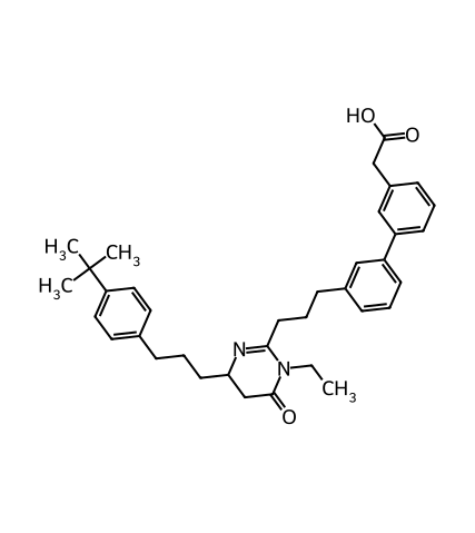 CCN1C(=O)CC(CCCc2ccc(C(C)(C)C)cc2)N=C1CCCc1cccc(-c2cccc(CC(=O)O)c2)c1